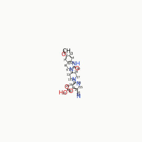 COc1ccc2c(c1)CCN(C1CCN(c3cc(OC(=O)O)c(C#N)cn3)CC1)C(=O)N2